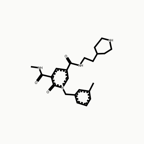 CNC(=O)c1cc(C(=O)NCCC2CCNCC2)cn(Cc2cccc(C)c2)c1=O